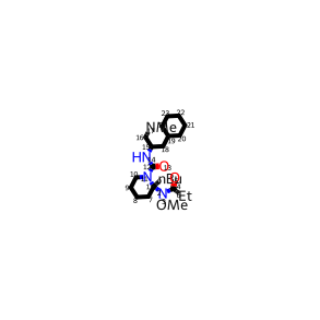 CCCCC1(N(OC)C(=O)CC)CCCCN1C(=O)NC(CNC)CC1CCCCC1